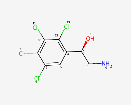 NC[C@H](O)c1cc(Cl)c(Cl)c(Cl)c1Cl